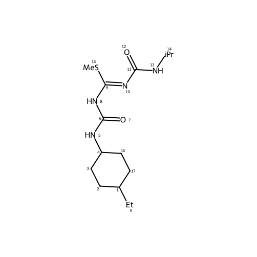 CCC1CCC(NC(=O)NC(=NC(=O)NC(C)C)SC)CC1